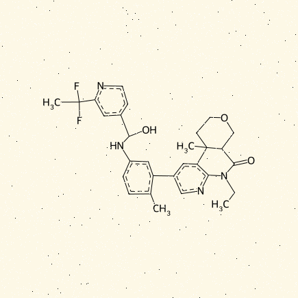 CCN1C(=O)C2COCCC2(C)c2cc(-c3cc(NC(O)c4ccnc(C(C)(F)F)c4)ccc3C)cnc21